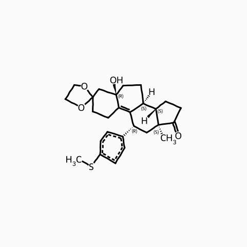 CSc1ccc([C@H]2C[C@]3(C)C(=O)CC[C@H]3[C@@H]3CC[C@@]4(O)CC5(CCC4=C32)OCCO5)cc1